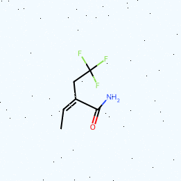 CC=C(CC(F)(F)F)C(N)=O